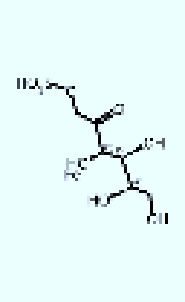 O=C(COS(=O)(=O)O)[C@H](O)[C@@H](O)[C@H](O)CO.[Fe]